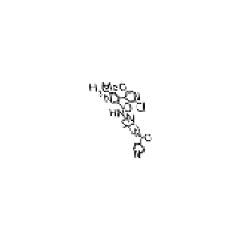 COc1cnc(Cl)cc1-c1cc(C)ncc1C(=O)Nc1nc2c(s1)CN(C(=O)c1ccncc1)C2